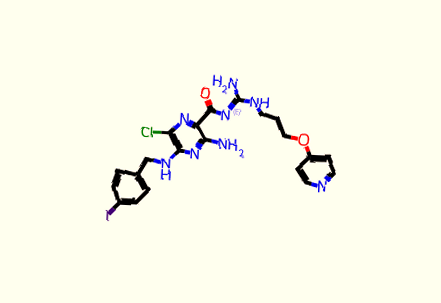 N/C(=N\C(=O)c1nc(Cl)c(NCc2ccc(I)cc2)nc1N)NCCCOc1ccncc1